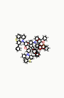 c1ccc(-c2cc(N(c3ccccc3)c3ccc4c(c3)Oc3cc(N(c5ccccc5)c5cc(-c6ccccc6)cc6sc7ccccc7c56)ccc3C43c4ccc(C(c5ccccc5)c5cc(-c6cccc7c6oc6ccccc67)c6sc7ccccc7c6c5)cc4-c4c(N(c5ccccc5)c5cc(-c6ccccc6)c6oc7ccccc7c6c5)cccc43)c3c(c2)sc2ccccc23)cc1